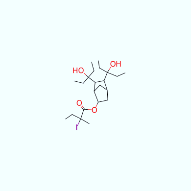 CCC(C)(I)C(=O)OC1CC2CC1C(C(O)(CC)CC)C2C(O)(CC)CC